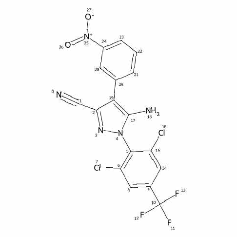 N#Cc1nn(-c2c(Cl)cc(C(F)(F)F)cc2Cl)c(N)c1-c1cccc([N+](=O)[O-])c1